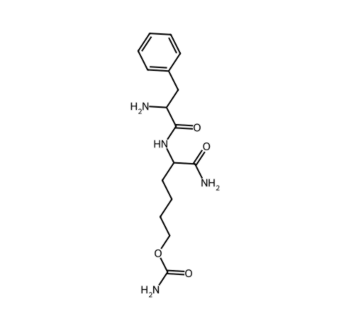 NC(=O)OCCCCC(NC(=O)C(N)Cc1ccccc1)C(N)=O